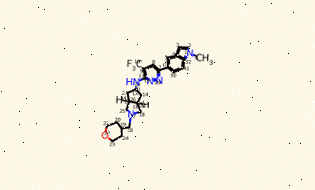 Cn1ccc2cc(-c3cc(C(F)(F)F)c(N[C@@H]4C[C@@H]5CN(CC6CCOCC6)C[C@@H]5C4)nn3)ccc21